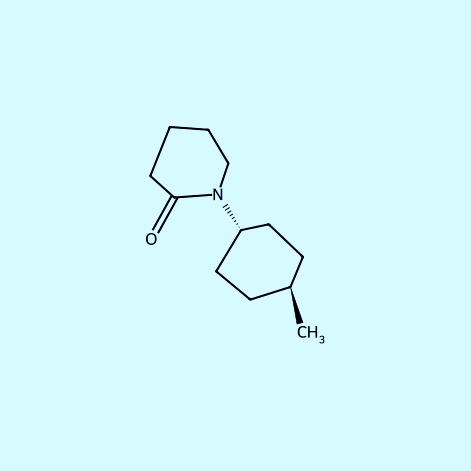 C[C@H]1CC[C@H](N2CCCCC2=O)CC1